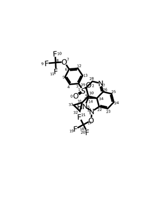 O=S(=O)(c1ccc(OC(F)(F)F)cc1)[C@H]1NN(OC(F)(F)F)C2=CC=CC3=NCCC(C4CC4)C231